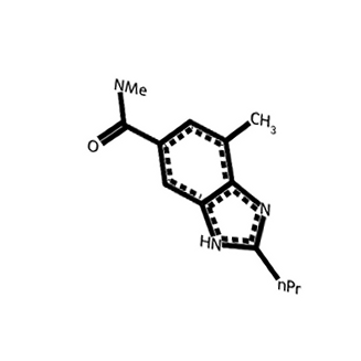 CCCc1nc2c(C)cc(C(=O)NC)cc2[nH]1